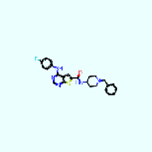 O=C(NC1CCN(Cc2ccccc2)CC1)c1cc2c(Nc3ccc(F)cc3)ncnc2s1